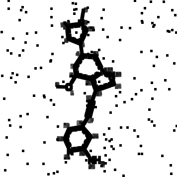 COc1cc(-c2cnn(C)c2)cn2ncc(C#Cc3ccnc(N)c3)c12